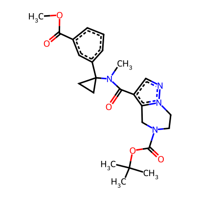 COC(=O)c1cccc(C2(N(C)C(=O)c3cnn4c3CN(C(=O)OC(C)(C)C)CC4)CC2)c1